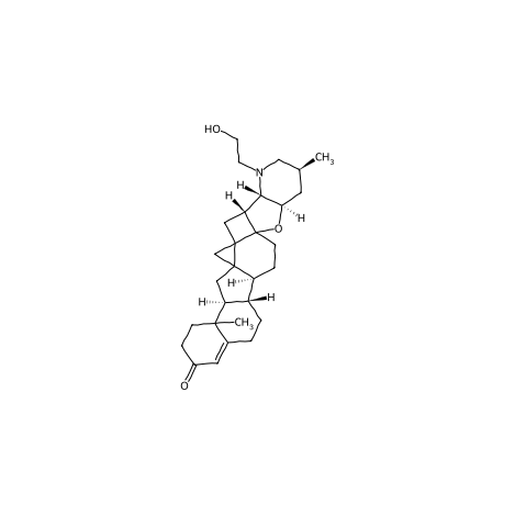 C[C@H]1C[C@H]2OC34CC[C@H]5[C@@H]6CCC7=CC(=O)CCC7(C)[C@H]6CC56CC63C[C@@H]4[C@@H]2N(CCO)C1